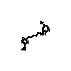 Brc1cncc(NCCCCCc2nc(C3CC3)no2)c1